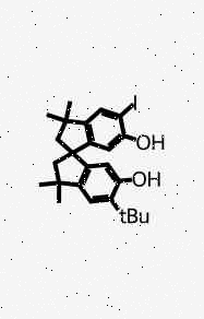 CC(C)(C)c1cc2c(cc1O)C1(CC(C)(C)c3cc(I)c(O)cc31)CC2(C)C